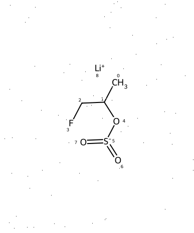 CC(CF)O[S-](=O)=O.[Li+]